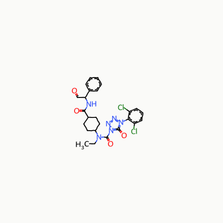 CCN(C(=O)n1nnn(-c2c(Cl)cccc2Cl)c1=O)C1CCC(C(=O)NC(C=O)c2ccccc2)CC1